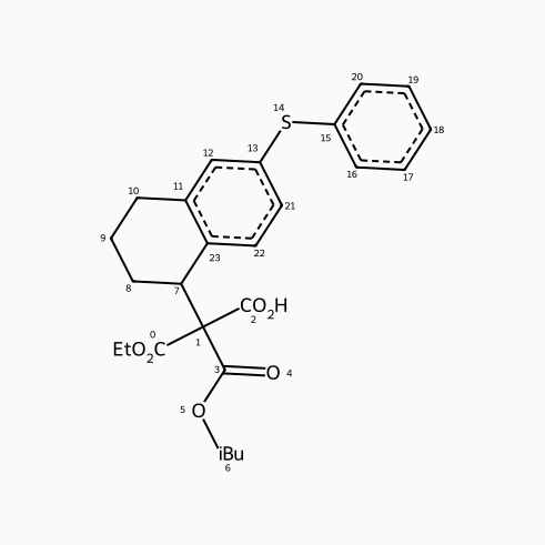 CCOC(=O)C(C(=O)O)(C(=O)OC(C)CC)C1CCCc2cc(Sc3ccccc3)ccc21